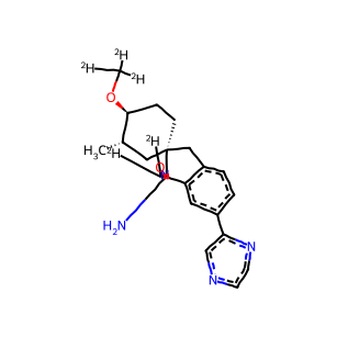 [2H]C([2H])([2H])O[C@H]1CC[C@@]2(Cc3ccc(-c4cnccn4)cc3[C@]23N=C(N)OC3([2H])[2H])C[C@@H]1C